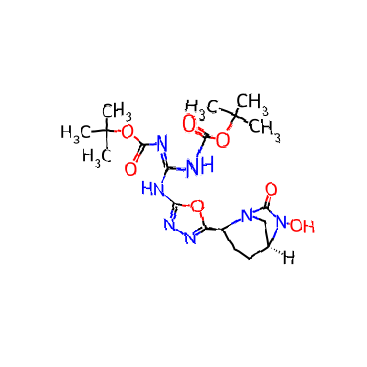 CC(C)(C)OC(=O)/N=C(/NC(=O)OC(C)(C)C)Nc1nnc([C@@H]2CC[C@H]3CN2C(=O)N3O)o1